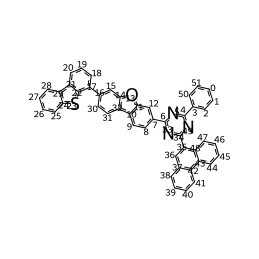 c1ccc(-c2nc(-c3ccc4c(c3)oc3cc(-c5cccc6c5sc5ccccc56)ccc34)nc(-c3cc4ccccc4c4ccccc34)n2)cc1